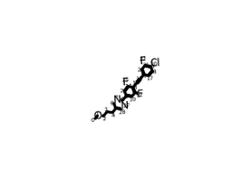 COCCCc1cnc(-c2cc(F)c(C#Cc3ccc(Cl)c(F)c3)c(F)c2)nc1